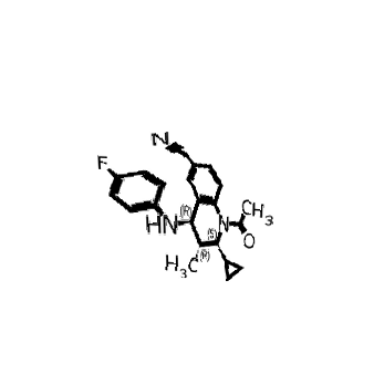 CC(=O)N1c2ccc(C#N)cc2[C@H](Nc2ccc(F)cc2)[C@@H](C)[C@@H]1C1CC1